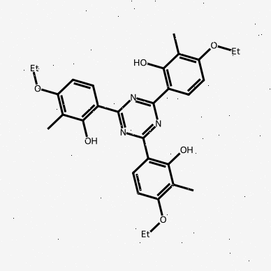 CCOc1ccc(-c2nc(-c3ccc(OCC)c(C)c3O)nc(-c3ccc(OCC)c(C)c3O)n2)c(O)c1C